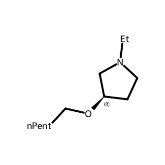 CCCCCCO[C@@H]1CCN(CC)C1